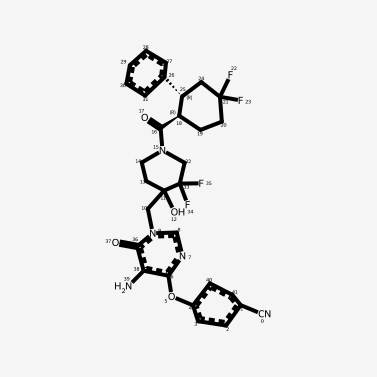 N#Cc1ccc(Oc2ncn(CC3(O)CCN(C(=O)[C@@H]4CCC(F)(F)C[C@H]4c4ccccc4)CC3(F)F)c(=O)c2N)cc1